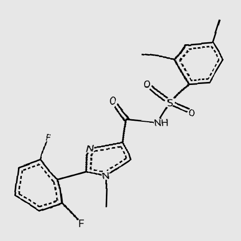 Cc1ccc(S(=O)(=O)NC(=O)c2cn(C)c(-c3c(F)cccc3F)n2)c(C)c1